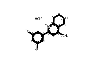 Cc1cc(-c2cc(F)cc(F)c2)nc2c1CNCC2.Cl